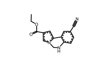 CCOC(=O)c1cc2n(c1)CNc1ccc(C#N)cc1-2